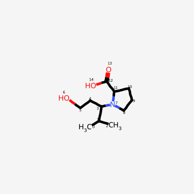 C[C](C)C(CCO)N1CCCC1C(=O)O